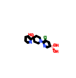 OB(O)c1cnc(N2CCC(O)(c3ccccn3)CC2)c(Cl)c1